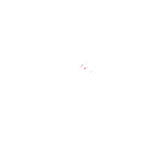 CSCCCCCCCCCCCCCOCC(CC(C)(C)C)OCc1ccccc1